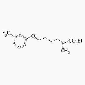 C=C(CCCCOc1cccc(C(F)(F)F)c1)C(=O)OCC